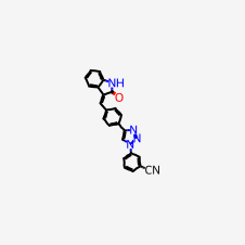 N#Cc1cccc(-n2cc(-c3ccc(C=C4C(=O)Nc5ccccc54)cc3)nn2)c1